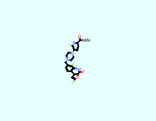 CNC(=O)c1ccc(N2CCN(Cc3ccc4c([nH]c(=O)c5oc(F)cc54)c3F)CC2)c(F)n1